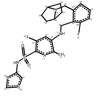 Cc1nc(S(=O)(=O)Nc2cscn2)c(F)cc1NCc1c(F)cccc1CN1C2CCC1CC2